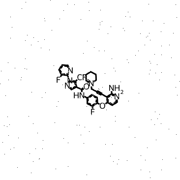 Nc1nccc(Oc2ccc(NC(=O)c3cnn(-c4ncccc4F)c3C(F)(F)F)cc2F)c1C#CCN1CCCCC1